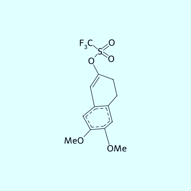 COc1cc2c(cc1OC)CCC(OS(=O)(=O)C(F)(F)F)=C2